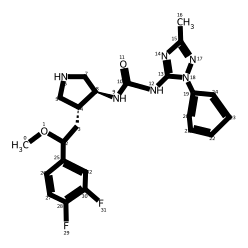 COC(C[C@@H]1CNC[C@H]1NC(=O)Nc1nc(C)nn1-c1ccccc1)c1ccc(F)c(F)c1